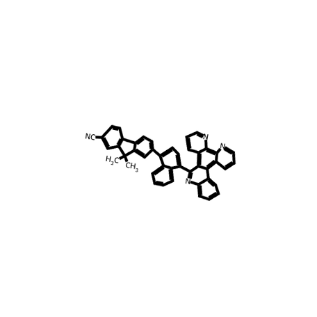 CC1(C)c2cc(C#N)ccc2-c2ccc(-c3ccc(-c4nc5ccccc5c5c6cccnc6c6ncccc6c45)c4ccccc34)cc21